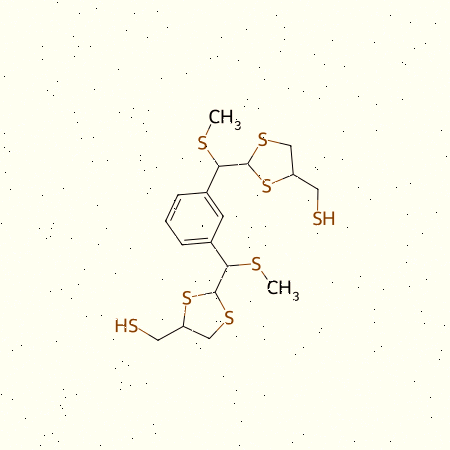 CSC(c1cccc(C(SC)C2SCC(CS)S2)c1)C1SCC(CS)S1